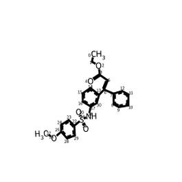 CCOC(=O)C=C(c1ccccc1)c1cccc(NS(=O)(=O)c2ccc(OC)cc2)c1